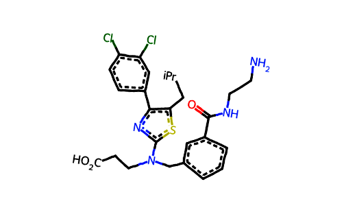 CC(C)Cc1sc(N(CCC(=O)O)Cc2cccc(C(=O)NCCN)c2)nc1-c1ccc(Cl)c(Cl)c1